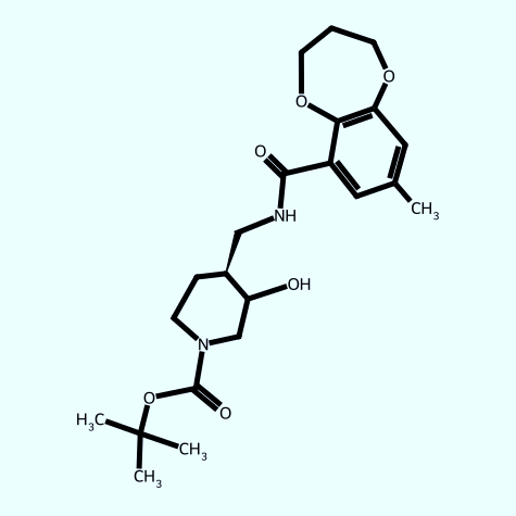 Cc1cc2c(c(C(=O)NC[C@@H]3CCN(C(=O)OC(C)(C)C)CC3O)c1)OCCCO2